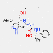 COc1n[nH]c2cc(NC(=O)N[C@@H](c3ccccc3)[C@H](O)C(C)C)nc(CO)c12